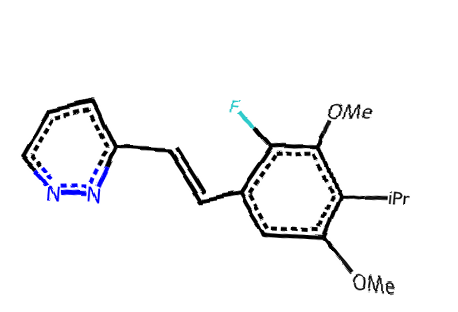 COc1cc(C=Cc2cccnn2)c(F)c(OC)c1C(C)C